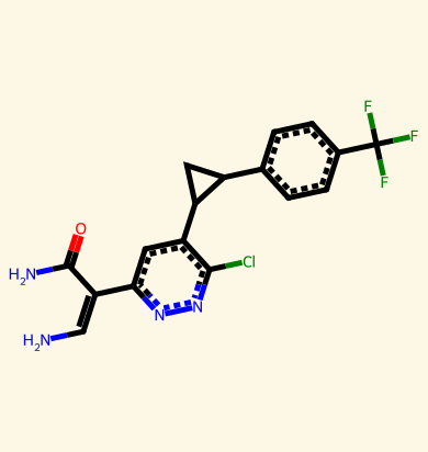 N/C=C(\C(N)=O)c1cc(C2CC2c2ccc(C(F)(F)F)cc2)c(Cl)nn1